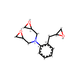 [c]1cccc(N(CC2CO2)CC2CO2)c1CC1CO1